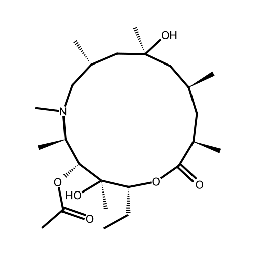 CC[C@H]1OC(=O)[C@H](C)C[C@H](C)C[C@](C)(O)C[C@@H](C)CN(C)[C@H](C)[C@@H](OC(C)=O)[C@]1(C)O